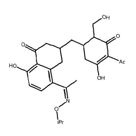 CC(=O)C1=C(O)CC(CC2CC(=O)c3c(O)ccc(/C(C)=N\OC(C)C)c3C2)C(CO)C1=O